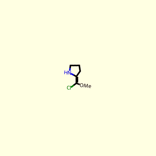 CO/C(Cl)=C1\CCCN1